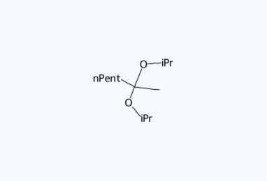 CCCCCC(C)(OC(C)C)OC(C)C